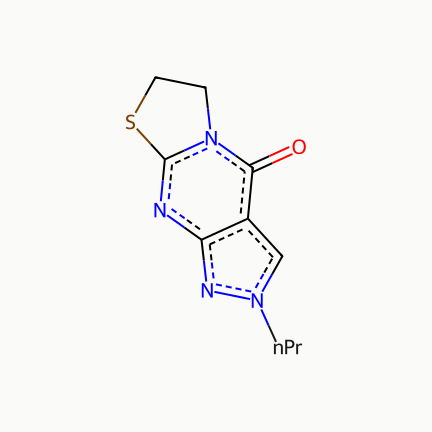 CCCn1cc2c(=O)n3c(nc2n1)SCC3